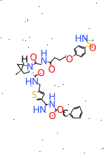 C[C@@]12C[C@@H]1N(C(=O)CNC(=O)CCCOc1ccc(S(C)(=N)=O)cc1)[C@H](C(=O)NCc1cc(C(=N)NC(=O)OCc3ccccc3)cs1)C2